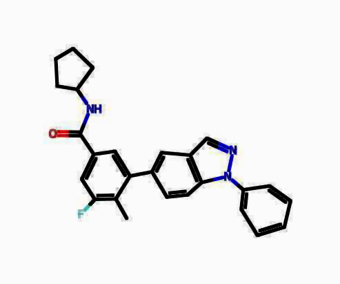 Cc1c(F)cc(C(=O)NC2CCCC2)cc1-c1ccc2c(cnn2-c2ccccc2)c1